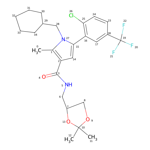 Cc1c(C(=O)NCC2COC(C)(C)O2)cc(-c2cc(C(F)(F)F)ccc2Cl)n1CC1CCCCC1